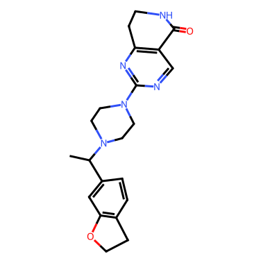 CC(c1ccc2c(c1)OCC2)N1CCN(c2ncc3c(n2)CCNC3=O)CC1